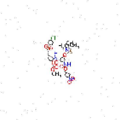 CCOC(=O)COc1ccc(CCCS(=O)(=O)c2ccc(Cl)cc2)cc1NC(=O)c1cc(NC(=O)OCc2ccc([N+](=O)[O-])cc2)cc(OCc2nc(C(C)(C)C)cs2)c1